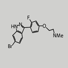 CNCCOc1ccc(-c2n[nH]c3cc(Br)ccc23)c(F)c1